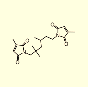 CC1=CC(=O)N(CCC(C)CC(C)(C)CN2C(=O)C=C(C)C2=O)C1=O